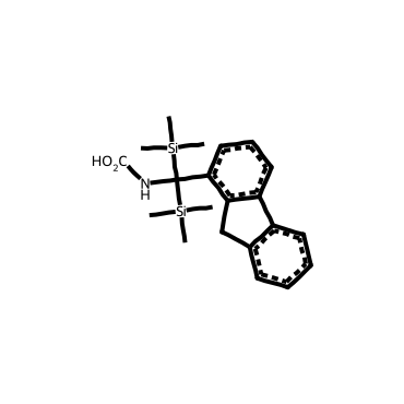 C[Si](C)(C)C(NC(=O)O)(c1cccc2c1Cc1ccccc1-2)[Si](C)(C)C